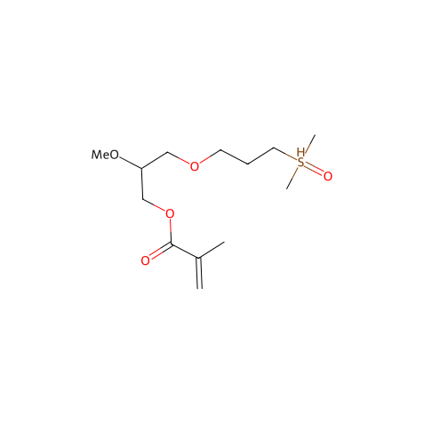 C=C(C)C(=O)OCC(COCCC[SH](C)(C)=O)OC